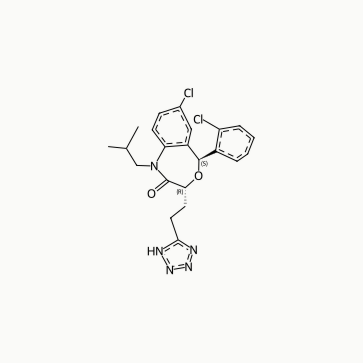 CC(C)CN1C(=O)[C@@H](CCc2nnn[nH]2)O[C@H](c2ccccc2Cl)c2cc(Cl)ccc21